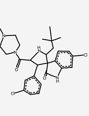 CN1CCN(C(=O)C2NC(CC(C)(C)C)C3(C(=O)Nc4cc(Cl)ccc43)C2c2cccc(Cl)c2)CC1